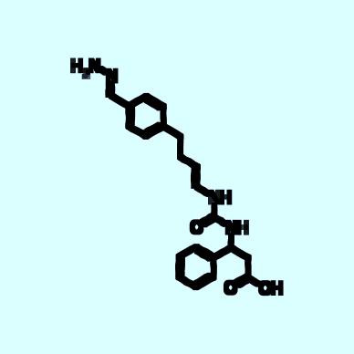 NN=Cc1ccc(CCC=CNC(=O)NC(CC(=O)O)c2ccccc2)cc1